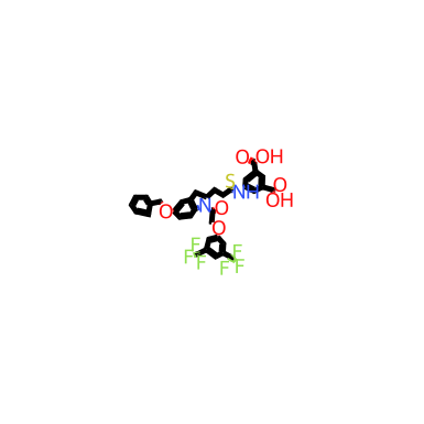 O=C(O)c1cc(NC(=S)CCC2Cc3cc(OCc4ccccc4)ccc3N2C(=O)COc2cc(C(F)(F)F)cc(C(F)(F)F)c2)cc(C(=O)O)c1